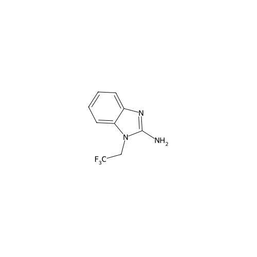 Nc1nc2ccccc2n1CC(F)(F)F